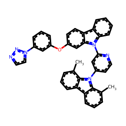 Cc1cccc2c3cccc(C)c3n(-c3ccnc(-n4c5ccccc5c5ccc(Oc6cccc(-n7ccnn7)c6)cc54)c3)c12